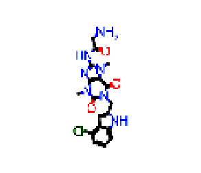 Cn1c(NC(=O)CN)nc2c1c(=O)n(Cc1cc3c(Cl)cccc3[nH]1)c(=O)n2C